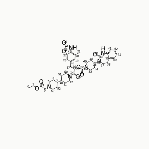 CCOC(=O)CN1CCC(C2CCN(C(=O)[C@@H](Cc3cc(C)c4[nH]c(=O)oc4c3)OC(=O)N3CCC(N4CCc5ccccc5NC4=O)CC3)CC2)CC1